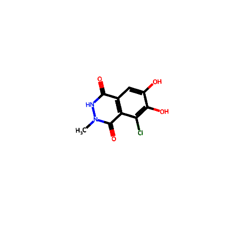 Cn1[nH]c(=O)c2cc(O)c(O)c(Cl)c2c1=O